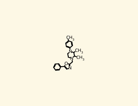 Cc1ccc(N2CCN(Cc3ncc(-c4ccccc4)o3)C(C)C2C)cc1